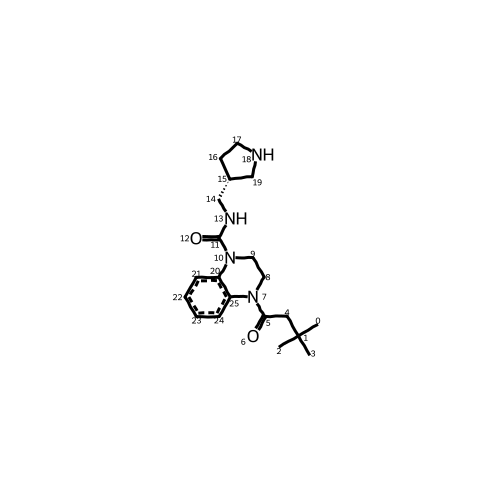 CC(C)(C)CC(=O)N1CCN(C(=O)NC[C@@H]2CCNC2)c2ccccc21